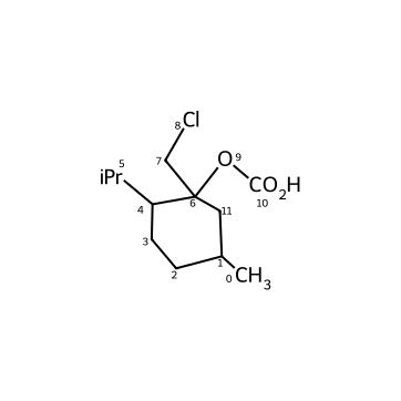 CC1CCC(C(C)C)C(CCl)(OC(=O)O)C1